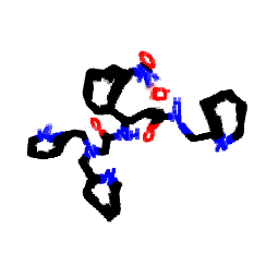 O=C(CC(NC(=O)CN(Cc1ccccn1)Cc1ccccn1)c1ccccc1[N+](=O)[O-])NCc1ccccn1